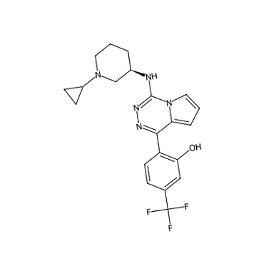 Oc1cc(C(F)(F)F)ccc1-c1nnc(N[C@@H]2CCCN(C3CC3)C2)n2cccc12